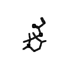 C=CC(=O)OC1(C)C(C)CCN(C)C1(C)C